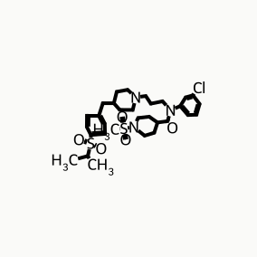 CC(C)S(=O)(=O)c1ccc(CC2CCN(CCCN(C(=O)C3CCN(S(C)(=O)=O)CC3)c3cccc(Cl)c3)CC2)cc1